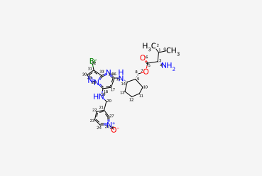 CC(C)[C@H](N)C(=O)OC[C@@H]1CCCC[C@@H]1Nc1cc(NCc2ccc[n+]([O-])c2)n2ncc(Br)c2n1